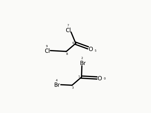 O=C(Br)CBr.O=C(Cl)CCl